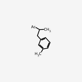 CC(=O)C(C)Cc1cccc(C)c1